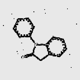 O=C1[CH]c2ccccc2N1c1ccccc1